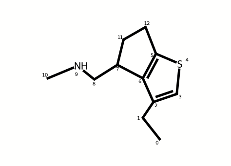 CCc1csc2c1C(CNC)CC2